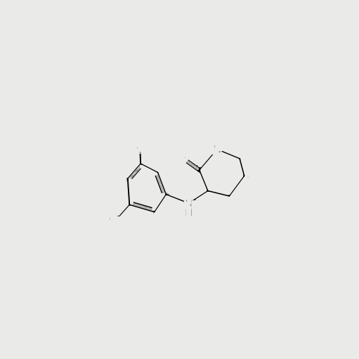 O=C1NCCCC1Nc1cc(Cl)cc(Cl)c1